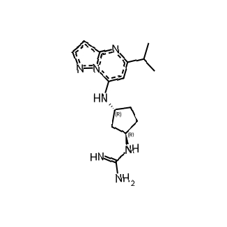 CC(C)c1cc(N[C@@H]2CC[C@@H](NC(=N)N)C2)n2nccc2n1